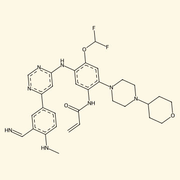 C=CC(=O)Nc1cc(Nc2cc(-c3ccc(NC)c(C=N)c3)ncn2)c(OC(F)F)cc1N1CCN(C2CCOCC2)CC1